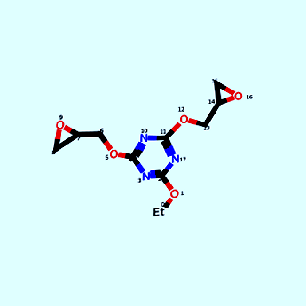 CCOc1nc(OCC2CO2)nc(OCC2CO2)n1